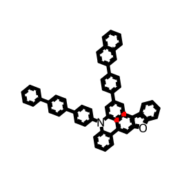 c1ccc(-c2ccc(-c3ccc(N(c4cccc(-c5ccc(-c6ccc7ccccc7c6)cc5)c4)c4ccccc4-c4ccc5c(c4)oc4ccccc45)cc3)cc2)cc1